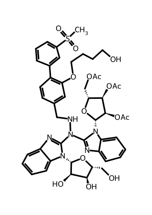 CC(=O)OC[C@H]1O[C@@H](n2c(N(NCc3ccc(-c4cccc(S(C)(=O)=O)c4)c(OCCCCO)c3)c3nc4ccccc4n3[C@@H]3O[C@H](CO)[C@@H](O)[C@H]3O)nc3ccccc32)[C@H](OC(C)=O)[C@@H]1OC(C)=O